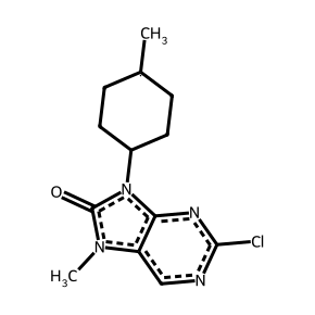 C[C]1CCC(n2c(=O)n(C)c3cnc(Cl)nc32)CC1